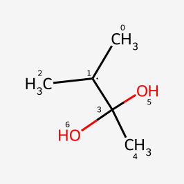 C[C](C)C(C)(O)O